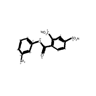 O=C(O)c1cc(S(=O)(=O)O)ccc1C(=O)Oc1cccc([N+](=O)[O-])c1